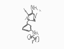 CS(=O)(=O)Nc1cccc(-c2cnc(N)c(I)n2)c1